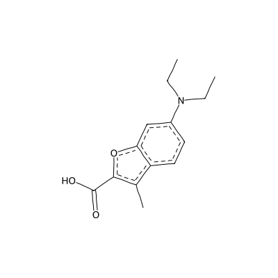 CCN(CC)c1ccc2c(C)c(C(=O)O)oc2c1